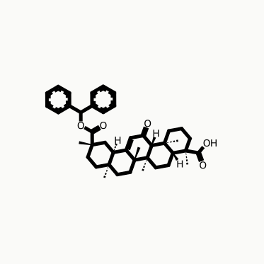 C[C@]1(C(=O)OC(c2ccccc2)c2ccccc2)CC[C@]2(C)CC[C@]3(C)C(=CC(=O)[C@@H]4[C@@]5(C)CCC[C@@](C)(C(=O)O)[C@@H]5CC[C@]43C)[C@@H]2C1